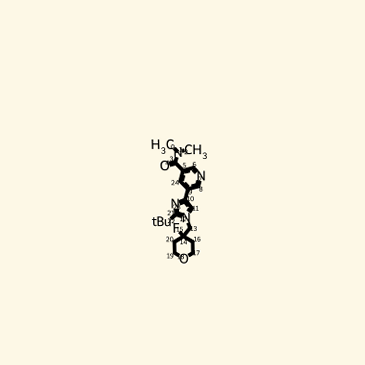 CN(C)C(=O)c1cncc(-c2cn(CC3(F)CCOCC3)c(C(C)(C)C)n2)c1